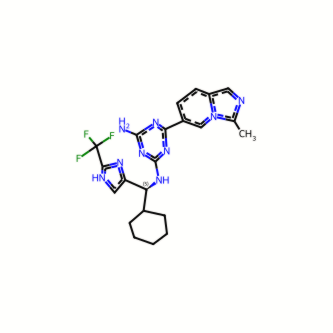 Cc1ncc2ccc(-c3nc(N)nc(N[C@H](c4c[nH]c(C(F)(F)F)n4)C4CCCCC4)n3)cn12